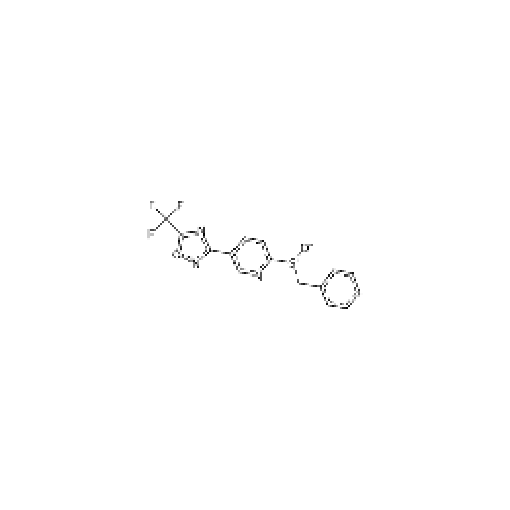 [O-][S+](Cc1ccccc1)c1ccc(-c2noc(C(F)(F)F)n2)cn1